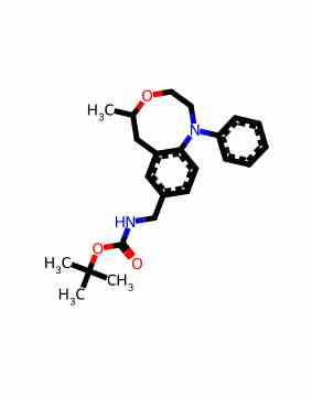 CC1Cc2cc(CNC(=O)OC(C)(C)C)ccc2N(c2ccccc2)CCO1